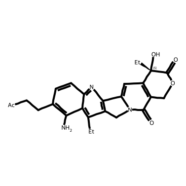 CCc1c2c(nc3ccc(CCC(C)=O)c(N)c13)-c1cc3c(c(=O)n1C2)COC(=O)[C@]3(O)CC